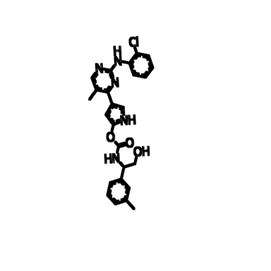 Cc1cccc(C(CO)NC(=O)Oc2cc(-c3nc(Nc4ccccc4Cl)ncc3C)c[nH]2)c1